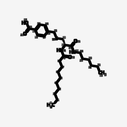 CCCCCCCCCC(=O)N[C@H](CSCc1ccc(C(=O)O)cc1)C(=O)NCCCCCC